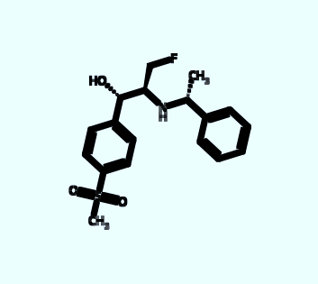 C[C@@H](N[C@H](CF)[C@@H](O)c1ccc(S(C)(=O)=O)cc1)c1ccccc1